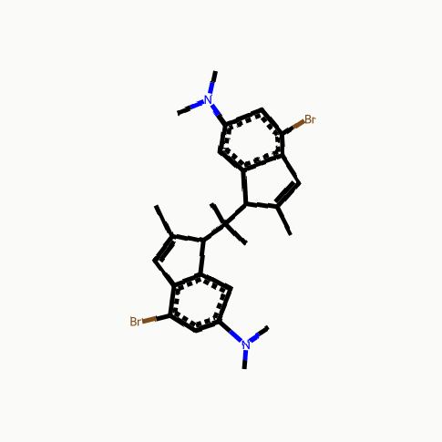 CC1=Cc2c(Br)cc(N(C)C)cc2C1C(C)(C)C1C(C)=Cc2c(Br)cc(N(C)C)cc21